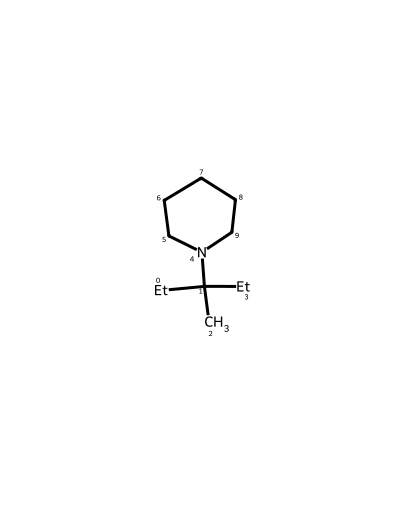 CCC(C)(CC)N1CCCCC1